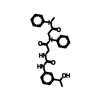 CC(O)c1cccc(NC(=O)NCC(=O)N(CC(=O)N(C)c2ccccc2)c2ccccc2)c1